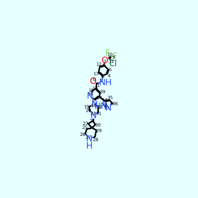 O=C(Nc1ccc(OC(F)(F)Cl)cc1)c1cnc(N2CCN(C3CC4(CCNCC4)C3)CC2)c(-c2ccn[nH]2)c1